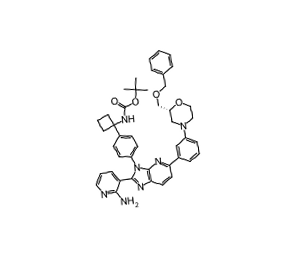 CC(C)(C)OC(=O)NC1(c2ccc(-n3c(-c4cccnc4N)nc4ccc(-c5cccc(N6CCO[C@@H](COCc7ccccc7)C6)c5)nc43)cc2)CCC1